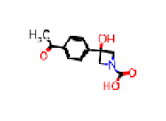 CC(=O)c1ccc(C2(O)CN(C(=O)O)C2)cc1